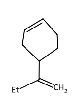 C=C(CC)C1CC=CCC1